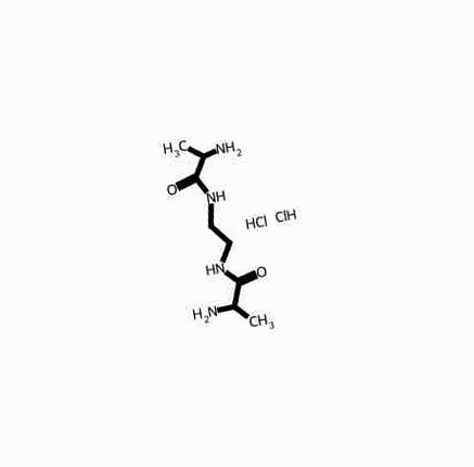 CC(N)C(=O)NCCNC(=O)C(C)N.Cl.Cl